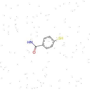 [NH]C(=O)c1ccc(S)cc1